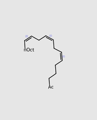 CCCCCCCC/C=C\C/C=C\C/C=C\CCCC(C)=O